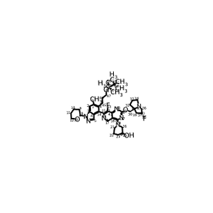 Cc1cc2c(cnn2C2CCCCO2)c(-c2ncc3c(N4CCC[C@@H](O)C4)nc(OC[C@@]45CCCN4C[C@H](F)C5)nc3c2F)c1CCCO[Si](C)(C)C(C)(C)C